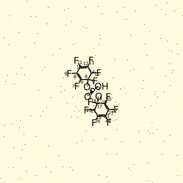 O=P(O)(OC1(F)C(F)=C(F)C(F)=C(F)C1F)OC1(F)C(F)=C(F)C(F)=C(F)C1F